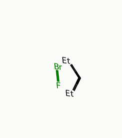 CCCCC.FBr